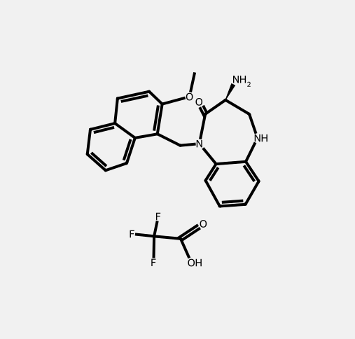 COc1ccc2ccccc2c1CN1C(=O)[C@@H](N)CNc2ccccc21.O=C(O)C(F)(F)F